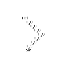 Cl.O.O.O.O.O.O.O.[Sm]